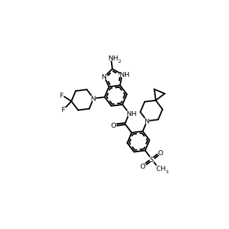 CS(=O)(=O)c1ccc(C(=O)Nc2cc(N3CCC(F)(F)CC3)c3nc(N)[nH]c3c2)c(N2CCC3(CC2)CC3)c1